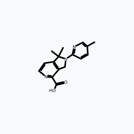 Cc1ccc(N2Cc3c(ccnc3C(=O)O)C2(C)C)nc1